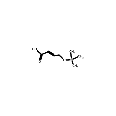 C[Si](C)(C)OC/C=C/C(=O)O